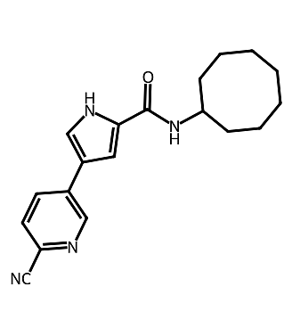 N#Cc1ccc(-c2c[nH]c(C(=O)NC3CCCCCCC3)c2)cn1